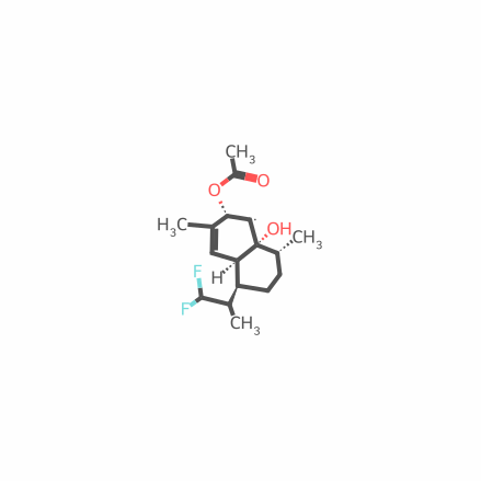 CC(=O)O[C@@H]1[CH][C@@]2(O)[C@H](C)CC[C@@H](C(C)C(F)F)[C@H]2C=C1C